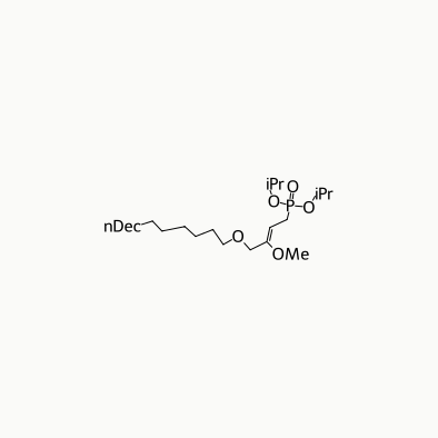 CCCCCCCCCCCCCCCCOCC(=CCP(=O)(OC(C)C)OC(C)C)OC